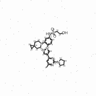 Cc1cc(-c2cnn(-c3ccc(NS(=O)(=O)CCO)cc3N3CCC4(CC3)CC4)c2)nc(N2CCCC2)n1